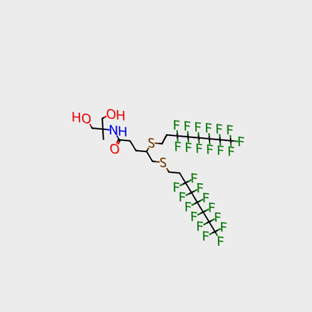 CC(CO)(CO)NC(=O)CCC(CSCCC(F)(F)C(F)(F)C(F)(F)C(F)(F)C(F)(F)C(F)(F)F)SCCC(F)(F)C(F)(F)C(F)(F)C(F)(F)C(F)(F)C(F)(F)F